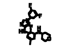 Cc1cc(Nc2ncn(-c3cc(F)cc(F)c3)n2)c(F)c(NC2CCOCC2)c1